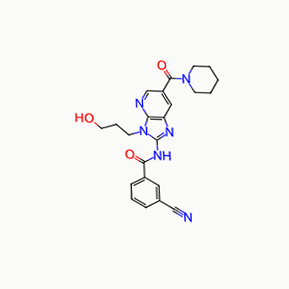 N#Cc1cccc(C(=O)Nc2nc3cc(C(=O)N4CCCCC4)cnc3n2CCCO)c1